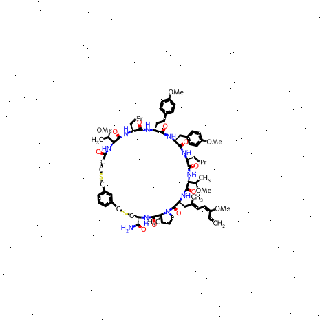 C=C/C(=C\C=C(/C)C[C@@H]1NC(=O)[C@H]([C@@H](C)OC)NC(=O)[C@H](CC(C)C)NC(=O)[C@H](Cc2ccc(OC)cc2)NC(=O)[C@H](CCc2ccc(OC)cc2)NC(=O)[C@H](CC(C)C)NC(=O)[C@H]([C@@H](C)OC)NC(=O)CCSCc2cccc(c2)CSC[C@@H](C(N)=O)NC(=O)[C@]2(C)CCCN2C1=O)OC